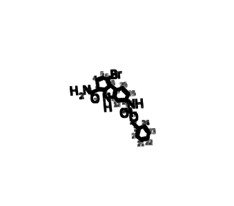 NC(=O)c1ccc(Br)c2c1[nH]c1cc(NC(=O)OCc3ccccc3)ccc12